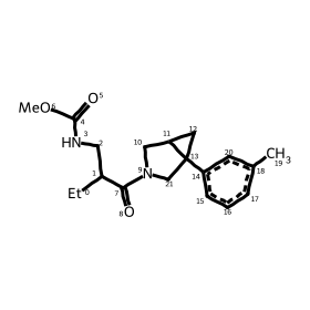 CCC(CNC(=O)OC)C(=O)N1CC2CC2(c2cccc(C)c2)C1